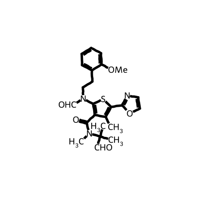 COc1ccccc1CCN(C=O)c1sc(-c2ncco2)c(C)c1C(=O)N(C)C(C)(C)C=O